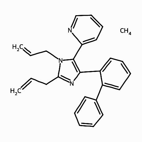 C.C=CCc1nc(-c2ccccc2-c2ccccc2)c(-c2ccccn2)n1CC=C